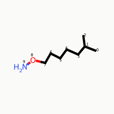 CC(C)CCCCCON